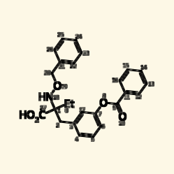 CCC(Cc1cccc(OC(=O)c2ccccc2)c1)(NOCc1ccccc1)C(=O)O